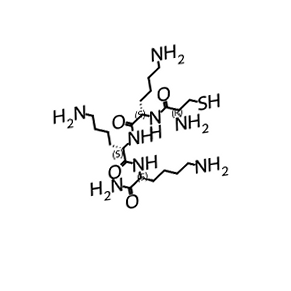 NCCCC[C@H](NC(=O)[C@H](CCCCN)NC(=O)[C@H](CCCCN)NC(=O)[C@@H](N)CS)C(N)=O